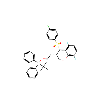 CC(C)(C)[Si](OCC[C@H]1COc2c(F)ccc(F)c2[C@@H]1S(=O)(=O)c1ccc(Cl)cc1)(c1ccccc1)c1ccccc1